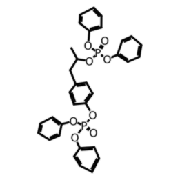 CC(Cc1ccc(OP(=O)(Oc2ccccc2)Oc2ccccc2)cc1)OP(=O)(Oc1ccccc1)Oc1ccccc1